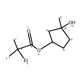 CCC(C)(I)C(=O)OC1CCC(C)(O)C1